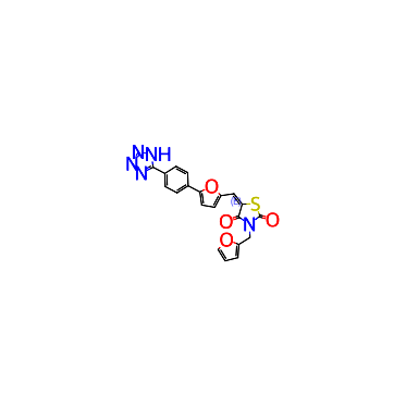 O=C1S/C(=C/c2ccc(-c3ccc(-c4nnn[nH]4)cc3)o2)C(=O)N1Cc1ccco1